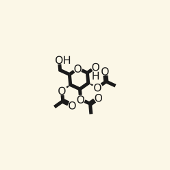 CC(=O)OC1[C@H](OC(C)=O)C(CO)OC(O)[C@@H]1OC(C)=O